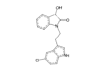 O=C1C(O)c2ccccc2N1CCc1c[nH]c2ccc(Cl)cc12